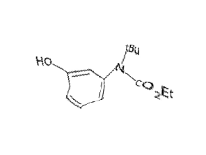 CCOC(=O)N(c1cccc(O)c1)C(C)(C)C